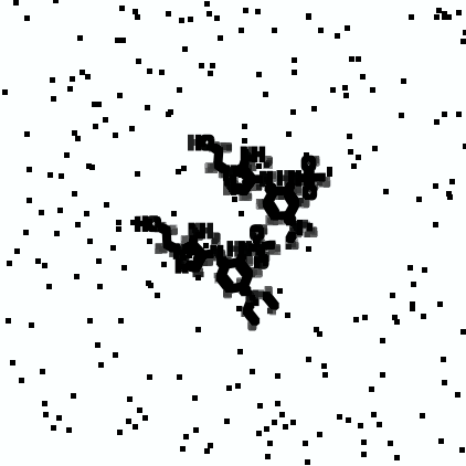 CC[N+](CC)=C1C=CC(=Nc2cnn(CCO)c2N)C(NS(C)(=O)=O)=C1.C[N+](C)=C1C=CC(=Nc2cnn(CCO)c2N)C(NS(C)(=O)=O)=C1